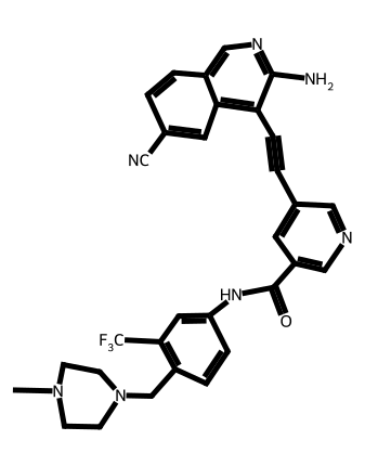 CN1CCN(Cc2ccc(NC(=O)c3cncc(C#Cc4c(N)ncc5ccc(C#N)cc45)c3)cc2C(F)(F)F)CC1